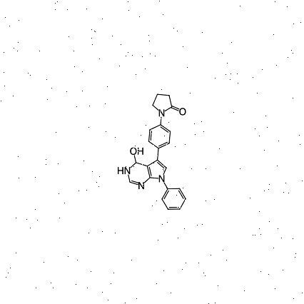 O=C1CCCN1c1ccc(-c2cn(-c3ccccc3)c3c2C(O)NC=N3)cc1